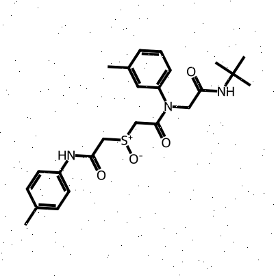 Cc1ccc(NC(=O)C[S+]([O-])CC(=O)N(CC(=O)NC(C)(C)C)c2cccc(C)c2)cc1